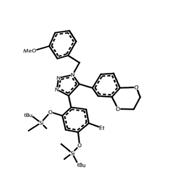 CCc1cc(-c2nnn(Cc3cccc(OC)c3)c2-c2ccc3c(c2)OCCO3)c(O[Si](C)(C)C(C)(C)C)cc1O[Si](C)(C)C(C)(C)C